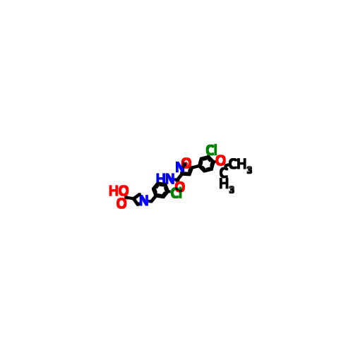 CC(C)Oc1ccc(-c2cc(C(=O)Nc3ccc(CN4CC(C(=O)O)C4)cc3Cl)no2)cc1Cl